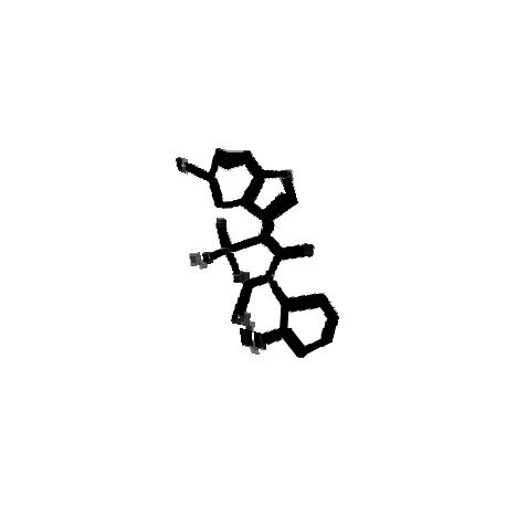 C=CN(C(=O)C(c1csc2ccc(Cl)cc12)P(C)(=O)O)c1ccccc1N